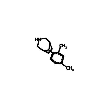 Cc1ccc(N2C3CCC2CNC3)c(C)c1